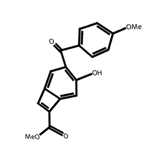 COC(=O)C1=Cc2cc(C(=O)c3ccc(OC)cc3)c(O)cc21